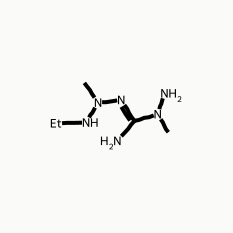 CCNN(C)/N=C(\N)N(C)N